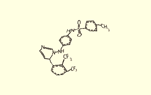 Cc1ccc(S(=O)(=O)Nc2ccc(NN3C=NC=CC3c3cccc(C(F)(F)F)c3C(F)(F)F)cc2)cc1